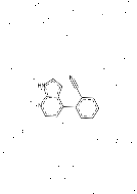 N#Cc1ccccc1-c1ccnc2[nH]ccc12